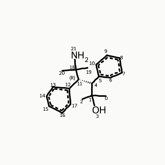 CC(C)(O)C(c1ccccc1)[C@H](c1ccccc1)C(C)(C)N